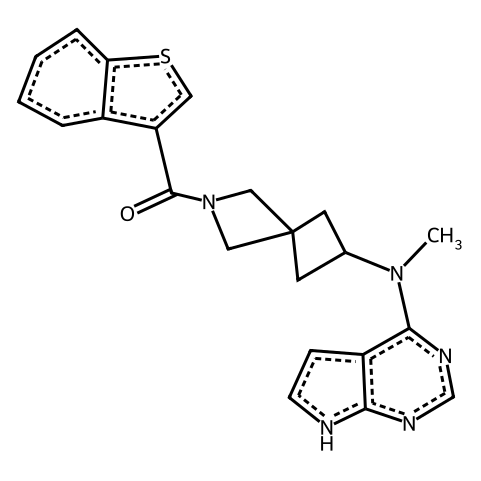 CN(c1ncnc2[nH]ccc12)C1CC2(C1)CN(C(=O)c1csc3ccccc13)C2